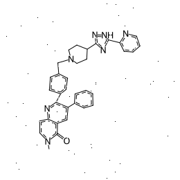 Cn1ccc2nc(-c3ccc(CN4CCC(c5n[nH]c(-c6ccccn6)n5)CC4)cc3)c(-c3ccccc3)cc2c1=O